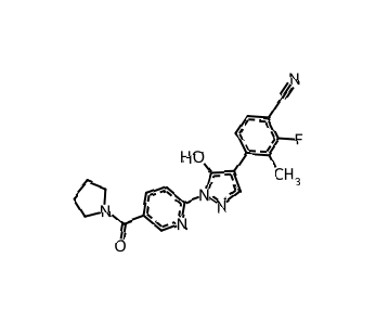 Cc1c(-c2cnn(-c3ccc(C(=O)N4CCCC4)cn3)c2O)ccc(C#N)c1F